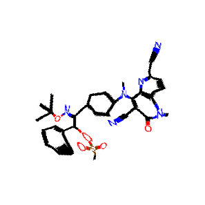 CN(c1c(C#N)c(=O)n(C)c2ccc(C#N)nc12)C1CCC(/C(=N/OC(C)(C)C)C(OS(C)(=O)=O)c2ccccc2)CC1